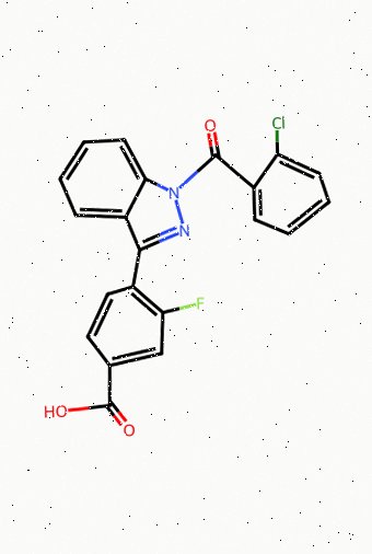 O=C(O)c1ccc(-c2nn(C(=O)c3ccccc3Cl)c3ccccc23)c(F)c1